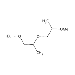 CCC(C)OCC(C)OCC(C)OC